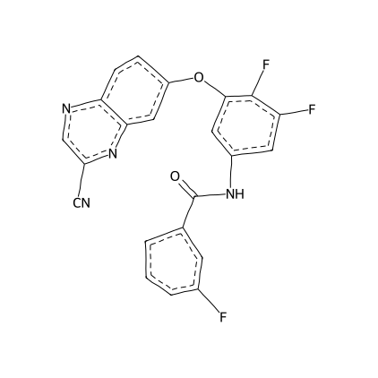 N#Cc1cnc2ccc(Oc3cc(NC(=O)c4cccc(F)c4)cc(F)c3F)cc2n1